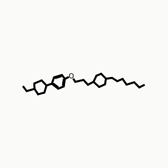 CCCCCCCC1CCC(CCCOc2ccc(C3CCC(CC)CC3)cc2)CC1